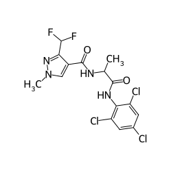 CC(NC(=O)c1cn(C)nc1C(F)F)C(=O)Nc1c(Cl)cc(Cl)cc1Cl